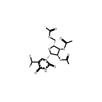 CC(=O)OC[C@H]1O[C@@H](n2cc(C(F)F)c(=O)[nH]c2=O)[C@H](OC(C)=O)[C@@H]1OC(C)=O